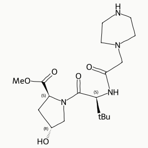 COC(=O)[C@@H]1C[C@@H](O)CN1C(=O)[C@@H](NC(=O)CN1CCNCC1)C(C)(C)C